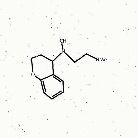 CNCCN(C)C1CCOc2ccccc21